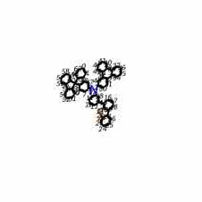 c1ccc(C2(c3ccc(N(c4cccc(-c5cccc6c5sc5ccccc56)c4)c4ccc5c6ccccc6c6ccccc6c5c4)cc3)c3ccccc3-c3ccccc32)cc1